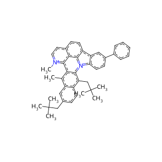 Cc1c2cc(CC(C)(C)C)ccc2c(CC(C)(C)C)c2c1c1c3c(ccc4c5cc(-c6ccccc6)ccc5n2c43)cc[n+]1C